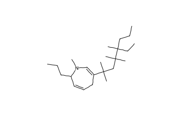 CCCC1C=CCC(C(C)(C)CC(C)(C)C(C)(CC)CCC)=CN1C